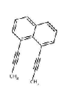 CC#Cc1cccc2cccc(C#CC)c12